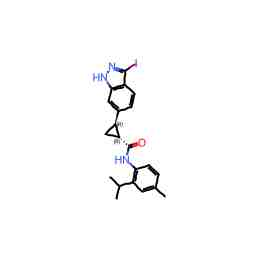 Cc1ccc(NC(=O)[C@@H]2C[C@H]2c2ccc3c(I)n[nH]c3c2)c(C(C)C)c1